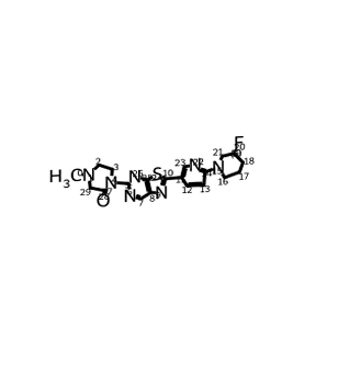 CN1CCN(c2ncc3nc(-c4ccc(N5CCC[C@H](F)C5)nc4)sc3n2)C(=O)C1